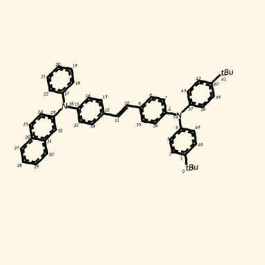 CC(C)(C)c1ccc(N(c2ccc(/C=C/c3ccc(N(c4ccccc4)c4ccc5ccccc5c4)cc3)cc2)c2ccc(C(C)(C)C)cc2)cc1